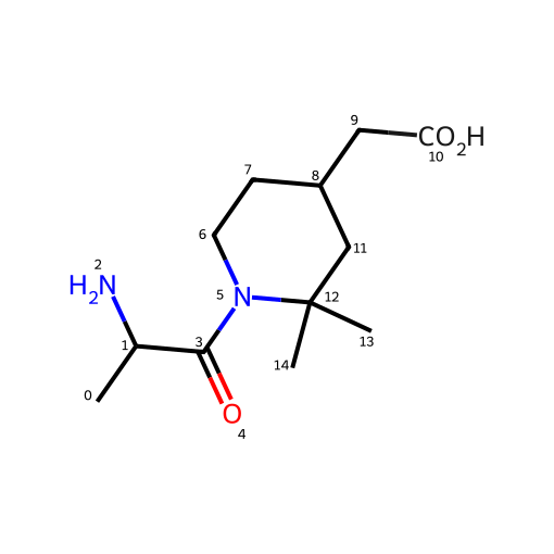 CC(N)C(=O)N1CCC(CC(=O)O)CC1(C)C